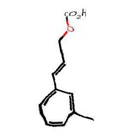 Cc1cccc(C=CCOC(=O)O)c1